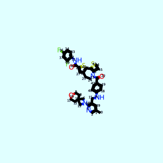 Cc1cnc(N2CC3(CCOCC3)C2)c(CNc2ccc(C(=O)N3CCc4cc(C(=O)Nc5ccc(F)cc5F)sc4-c4sccc43)cc2)c1